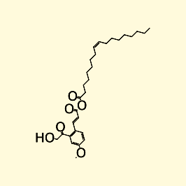 CCCCCCCC/C=C\CCCCCCCC(=O)OC(=O)C=Cc1ccc(OC)cc1C(=O)CO